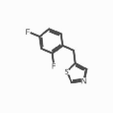 Fc1ccc(Cc2cncs2)c(F)c1